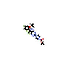 CC(C)(C)OC(=O)N1CCN(c2ncc([C@@](N[S@@+]([O-])C(C)(C)C)(c3ccc(F)cc3)C(F)(F)F)cn2)CC1